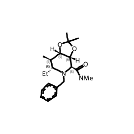 CC[C@@H]1[C@@H](C)[C@@H]2OC(C)(C)O[C@@H]2[C@@H](C(=O)NC)N1Cc1ccccc1